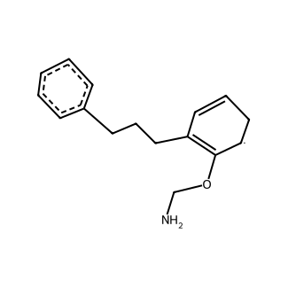 NCOC1=C(CCCc2ccccc2)C=CC[CH]1